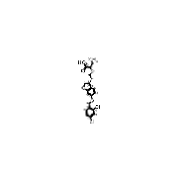 CCC(SCC[C@@H]1COc2cc(OCc3ccc(Cl)cc3Cl)ccc21)C(=O)O